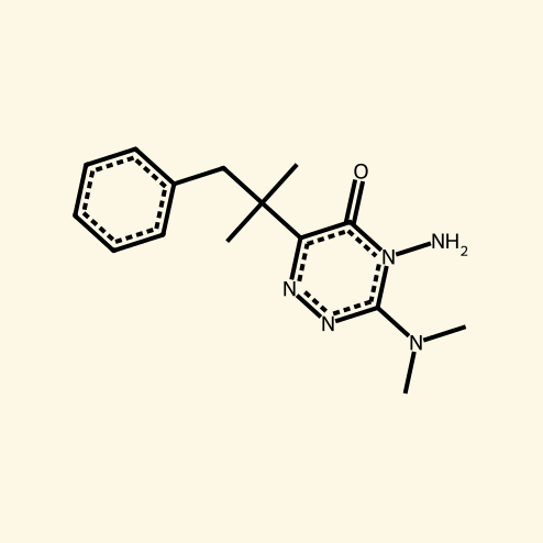 CN(C)c1nnc(C(C)(C)Cc2ccccc2)c(=O)n1N